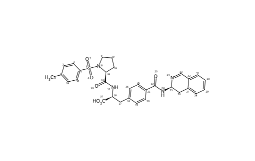 Cc1ccc(S(=O)(=O)N2CCC[C@H]2C(=O)N[C@@H](Cc2ccc(C(=O)N[C@@H]3Cc4ccccc4C=N3)cc2)C(=O)O)cc1